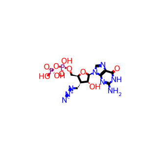 [N-]=[N+]=NC[C@H]1[C@@H](O)[C@H](n2cnc3c(=O)[nH]c(N)nc32)O[C@@H]1COP(=O)(O)OP(=O)(O)O